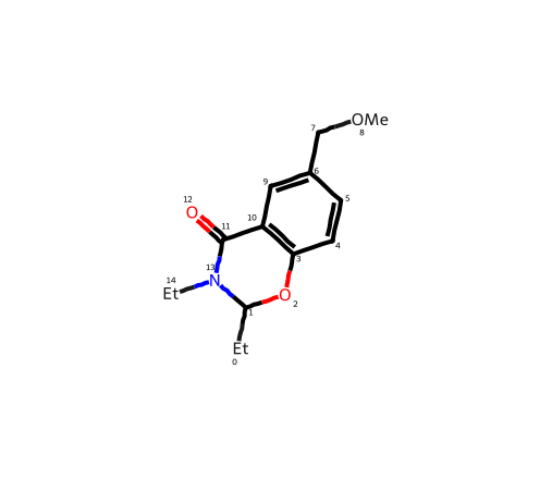 CCC1Oc2ccc(COC)cc2C(=O)N1CC